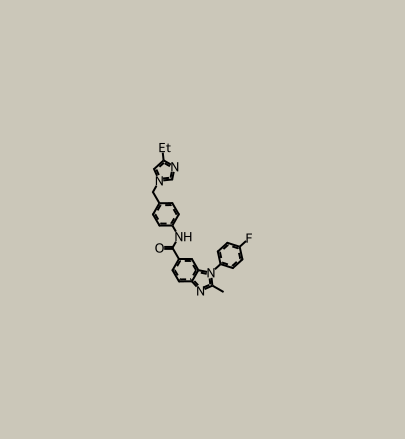 CCc1cn(Cc2ccc(NC(=O)c3ccc4nc(C)n(-c5ccc(F)cc5)c4c3)cc2)cn1